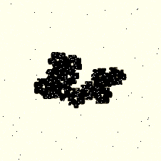 C1=C[C@]2(CC=C1c1cccc(-c3ccc4c(c3)c3ccccc3n4-c3cccc4c3Cc3ccccc3-4)c1)N(c1ccc3c(c1)C(c1ccccc1)(c1ccccc1)c1ccccc1-3)C21C=Cc2ccccc21